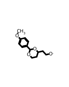 COc1ccc(C2OCCC(CC[O])O2)cc1